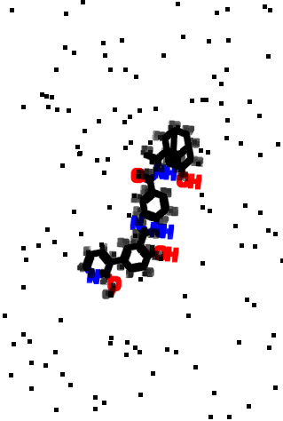 COc1ncccc1-c1ccc(O)c(-c2nc3cc(C(=O)NC(C)C45CC6CC(CC(O)(C6)C4)C5)ccc3[nH]2)c1